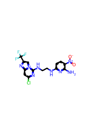 Nc1nc(NCCNc2nc(Cl)cc3nc(C(F)(F)F)cn23)ccc1[N+](=O)[O-]